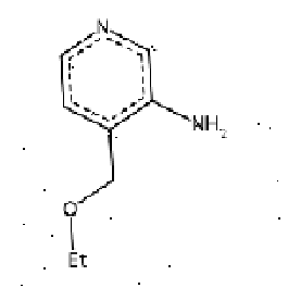 CCOCc1ccn[c]c1N